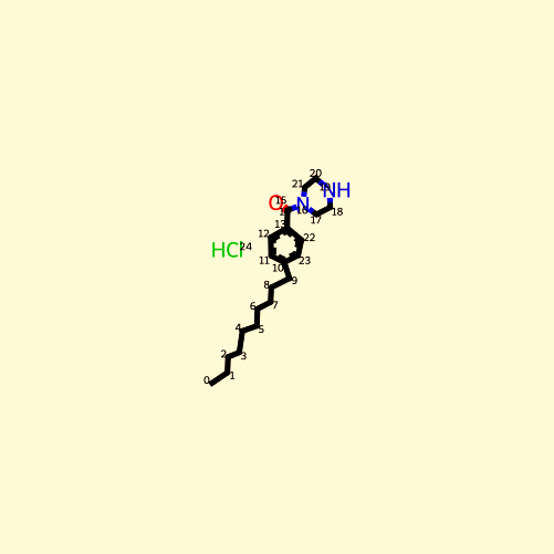 CCCCCCCCCCc1ccc(C(=O)N2CCNCC2)cc1.Cl